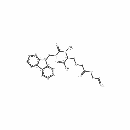 C=CCOC(=O)COC[C@@H](C(=O)O)N(C)C(=O)OCC1c2ccccc2-c2ccccc21